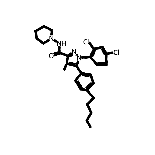 CCCCCc1ccc(-c2c(C)c(C(=O)NN3CCCCC3)nn2-c2ccc(Cl)cc2Cl)cc1